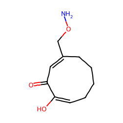 NOC/C1=C/C(=O)/C(O)=C\CCCC1